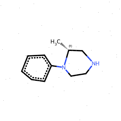 C[C@@H]1CNCCN1c1c[c]ccc1